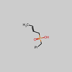 C/C=C/CP(=O)(O)CC(C)C